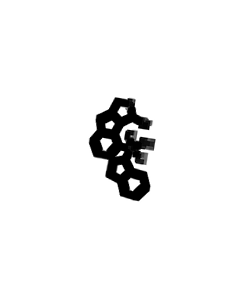 [SH][Zr]([Cl])([Cl])([c]1cccc2c1C1C(=C2)CSC1Br)[CH]1C=Cc2ccccc21